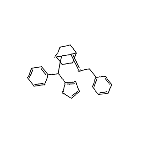 c1ccc(CN=C2C3CCN(CC3)C2C(c2ccccc2)c2cccs2)cc1